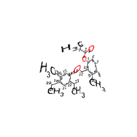 CCC(=O)Oc1cccc(C)c1COc1cc(C)c(CC)cc1CC